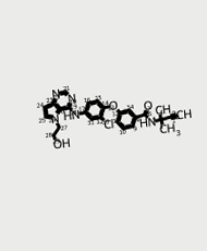 C#CC(C)(C)NC(=O)c1cccc(Oc2ccc(Nc3ncnc4ccn(CCO)c34)cc2Cl)c1